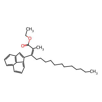 CCCCCCCCCCCCC(C1=Cc2cccc3cccc1c23)=C(C)C(=O)OCC